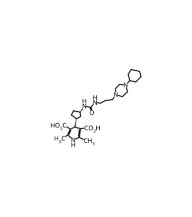 CC1=C(C(=O)O)C([C@H]2CC[C@@H](NC(=O)NCCCN3CCN(C4CCCCC4)CC3)C2)C(C(=O)O)=C(C)N1